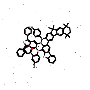 CC(C)(C)c1ccc(N2B3c4cc5c(-c6ccccc6)oc(-c6ccccc6)c5cc4N(c4ccc(C(C)(C)C)cc4-c4ccccc4)c4c3c(cc3c4oc4ccccc43)-c3cc4c(cc32)C(C)(C)c2cc3c(cc2-4)C(C)(C)CCC3(C)C)cc1